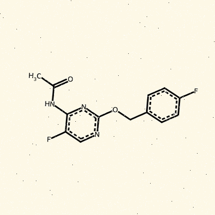 CC(=O)Nc1nc(OCc2ccc(F)cc2)ncc1F